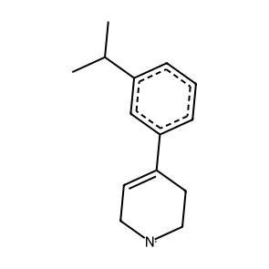 CC(C)c1cccc(C2=CC[N]CC2)c1